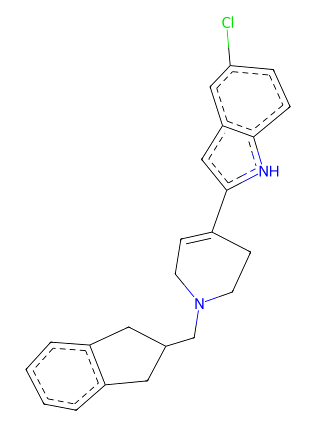 Clc1ccc2[nH]c(C3=CCN(CC4Cc5ccccc5C4)CC3)cc2c1